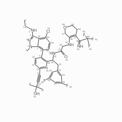 CSNc1nn(C)c2c(-c3ccc(C#CC(C)(C)O)nc3C(Cc3cc(F)cc(F)c3)NC(=O)CNC3=C(C(=N)C(F)(F)F)CCOC3)ccc(Cl)c12